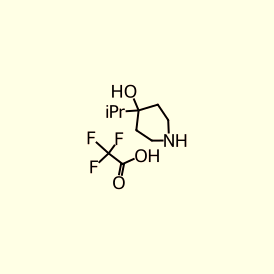 CC(C)C1(O)CCNCC1.O=C(O)C(F)(F)F